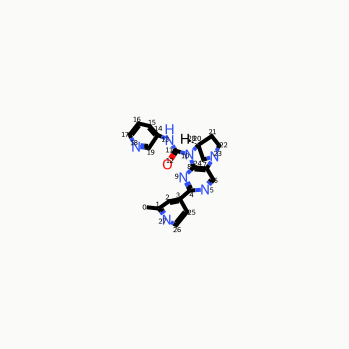 Cc1cc(-c2ncc3c(n2)N(C(=O)Nc2cccnc2)[C@H]2CCN3C2)ccn1